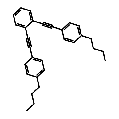 CCCCc1ccc(C#Cc2ccccc2C#Cc2ccc(CCCC)cc2)cc1